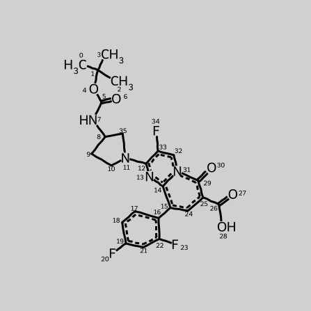 CC(C)(C)OC(=O)NC1CCN(c2nc3c(-c4ccc(F)cc4F)cc(C(=O)O)c(=O)n3cc2F)C1